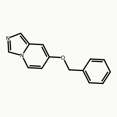 c1ccc(COc2ccn3cncc3c2)cc1